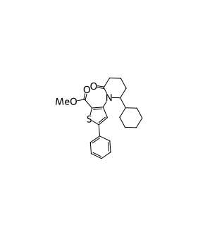 COC(=O)c1sc(-c2ccccc2)cc1N1C(=O)CCCC1C1CCCCC1